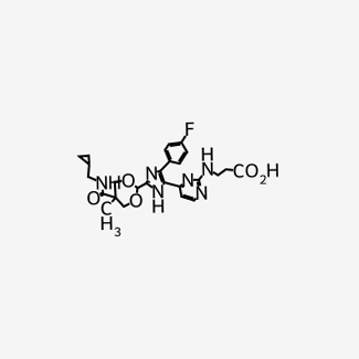 CC1(C(=O)NCC2CC2)COC(c2nc(-c3ccc(F)cc3)c(-c3ccnc(NCCC(=O)O)n3)[nH]2)OC1